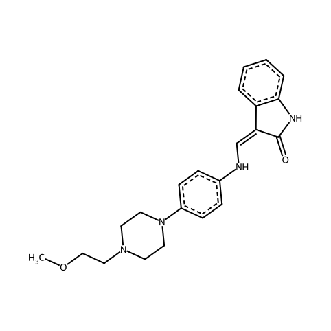 COCCN1CCN(c2ccc(NC=C3C(=O)Nc4ccccc43)cc2)CC1